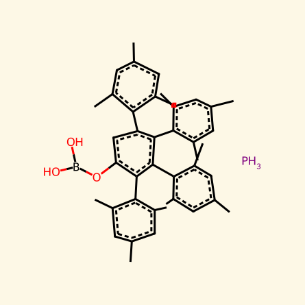 Cc1cc(C)c(-c2cc(OB(O)O)c(-c3c(C)cc(C)cc3C)c(-c3c(C)cc(C)cc3C)c2-c2c(C)cc(C)cc2C)c(C)c1.P